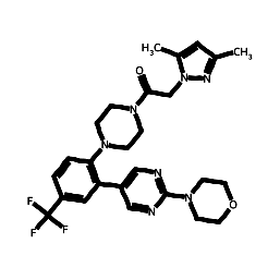 Cc1cc(C)n(CC(=O)N2CCN(c3ccc(C(F)(F)F)cc3-c3cnc(N4CCOCC4)nc3)CC2)n1